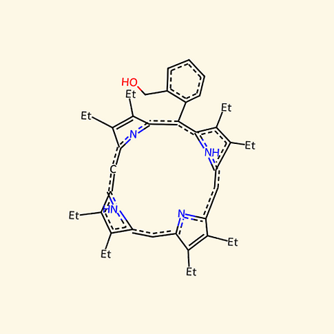 CCC1=C(CC)c2cc3[nH]c(c(CC)c3CC)c(-c3ccccc3CO)c3nc(cc4[nH]c(cc1n2)c(CC)c4CC)C(CC)=C3CC